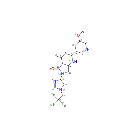 COC1CN=CC(C2CC(C)C3C(=O)N(C4CN(CC(F)(F)F)C=N4)CC3N2)C1